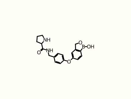 O=C(NCc1ccc(Oc2ccc3c(c2)COB3O)cc1)C1CCCN1